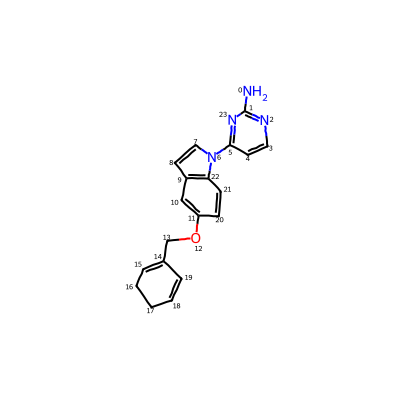 Nc1nccc(-n2ccc3cc(OCC4=CCCC=C4)ccc32)n1